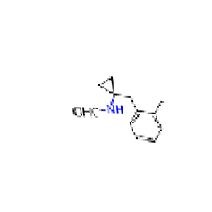 Cc1ccccc1CC1(NC=O)CC1